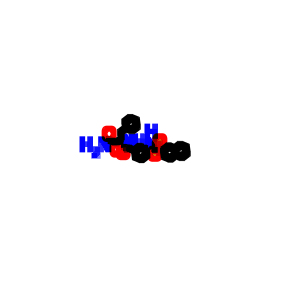 NC(=O)C(=O)C(Cc1ccccc1)NC(=O)c1cccc(NS(=O)(=O)c2ccc3ccccc3c2)c1